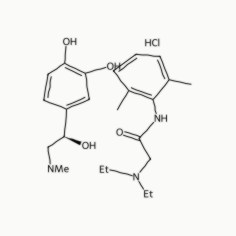 CCN(CC)CC(=O)Nc1c(C)cccc1C.CNC[C@H](O)c1ccc(O)c(O)c1.Cl